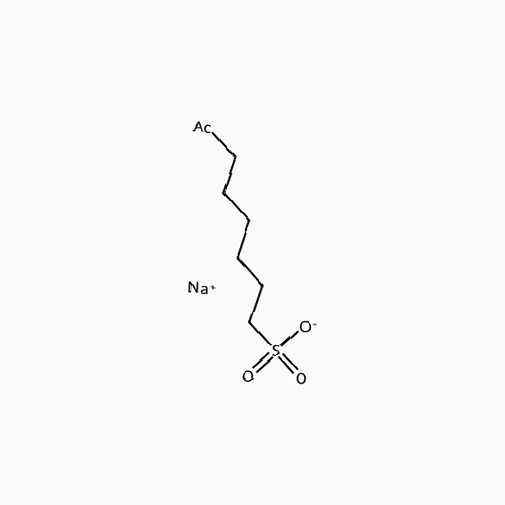 CC(=O)CCCCCCS(=O)(=O)[O-].[Na+]